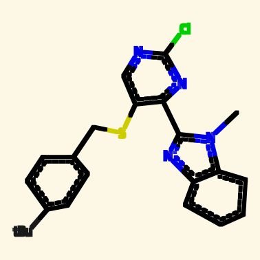 Cn1c(-c2nc(Cl)ncc2SCc2ccc(C(C)(C)C)cc2)nc2ccccc21